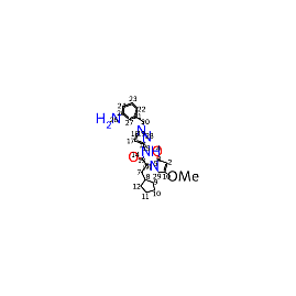 COC1=CC(=O)N([C@@H](CC2CCCC2)C(=O)Nc2ccn(Cc3cccc(N)c3)n2)C1